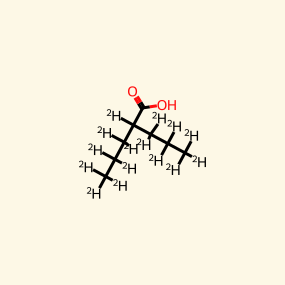 [2H]C([2H])([2H])C([2H])([2H])C([2H])([2H])C([2H])(C(=O)O)C([2H])([2H])C([2H])([2H])C([2H])([2H])[2H]